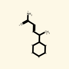 CC(C=CC(N)=O)C1CCCCC1